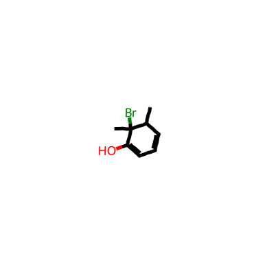 CC1C=CC=C(O)C1(C)Br